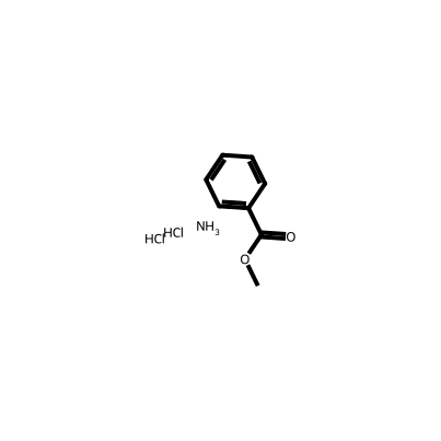 COC(=O)c1ccccc1.Cl.Cl.N